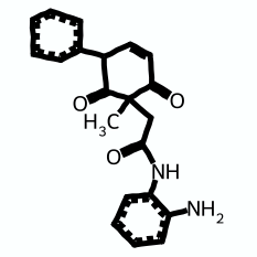 CC1(CC(=O)Nc2ccccc2N)C(=O)C=CC(c2ccccc2)C1=O